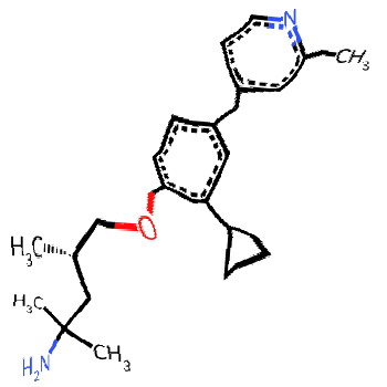 Cc1cc(-c2ccc(OC[C@@H](C)CC(C)(C)N)c(C3CC3)c2)ccn1